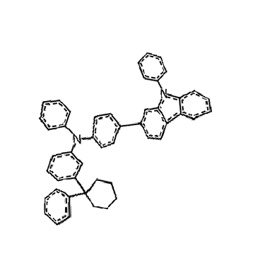 c1ccc(N(c2ccc(-c3ccc4c5ccccc5n(-c5ccccc5)c4c3)cc2)c2cccc(C3(c4ccccc4)CCCCC3)c2)cc1